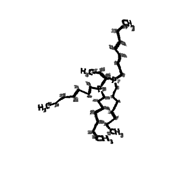 CCCCCCCP(CCCCCCC)C(CC)P(CCCCCCC)CCCCCCC